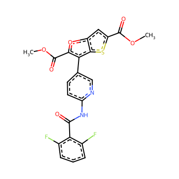 COC(=O)c1cc2oc(C(=O)OC)c(-c3ccc(NC(=O)c4c(F)cccc4F)nc3)c2s1